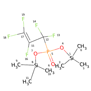 C[Si](C)(C)OP(=O)(O[Si](C)(C)C)C(F)(F)C(F)=C(F)F